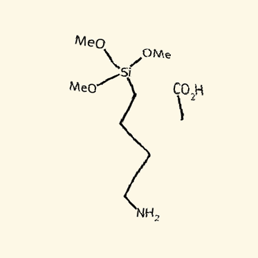 CC(=O)O.CO[Si](CCCCN)(OC)OC